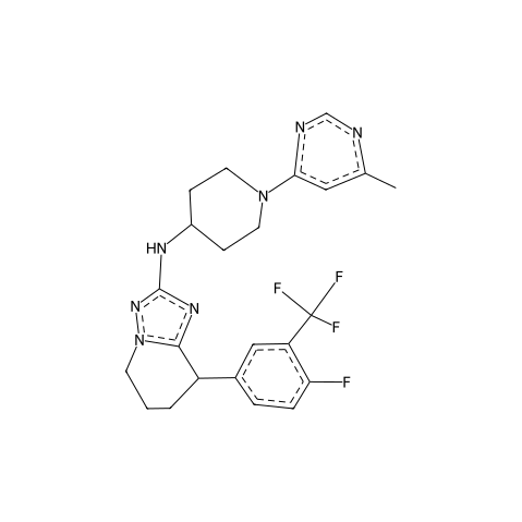 Cc1cc(N2CCC(Nc3nc4n(n3)CCCC4c3ccc(F)c(C(F)(F)F)c3)CC2)ncn1